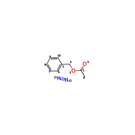 CC(=O)OCc1ccccc1.N#N